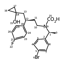 C[C@@H](c1ccc(Br)cc1)N(CC[C@H](CC1(O)CC1)c1ccc(F)cc1)C(=O)O